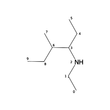 C[CH]NC(CC)C(C)CC